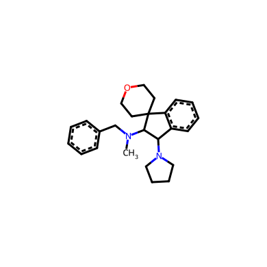 CN(Cc1ccccc1)C1C(N2CCCC2)c2ccccc2C12CCOCC2